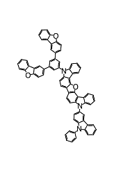 c1ccc(-n2c3ccccc3c3cc(-n4c5ccccc5c5c6oc7c(ccc8c7c7ccccc7n8-c7cc(-c8ccc9oc%10ccccc%10c9c8)cc(-c8ccc9oc%10ccccc%10c9c8)c7)c6ccc54)ccc32)cc1